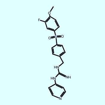 COc1ccc(S(=O)(=O)c2ccc(CNC(=N)Nc3ccncc3)cc2)cc1F